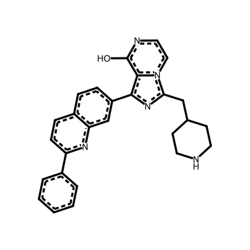 Oc1nccn2c(CC3CCNCC3)nc(-c3ccc4ccc(-c5ccccc5)nc4c3)c12